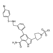 CCS(=O)(=O)N1CCC(c2c[nH]c3c(C(N)=O)cc(-c4cccc(CNSc5ccc(Br)cc5)c4)cc23)CC1